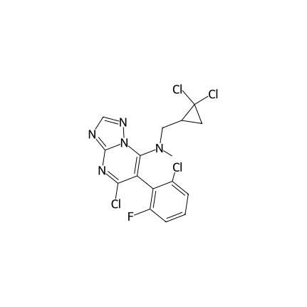 CN(CC1CC1(Cl)Cl)c1c(-c2c(F)cccc2Cl)c(Cl)nc2ncnn12